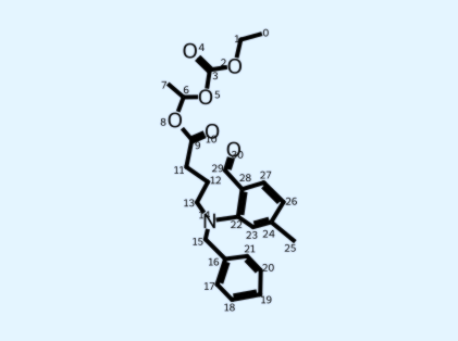 CCOC(=O)OC(C)OC(=O)CCCN(Cc1ccccc1)c1cc(C)ccc1C=O